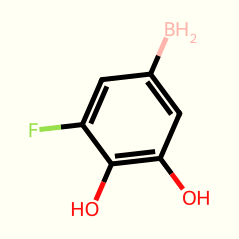 Bc1cc(O)c(O)c(F)c1